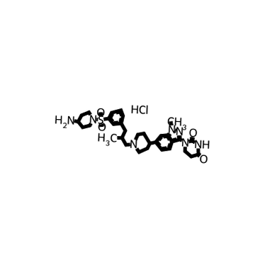 CC(Cc1cccc(S(=O)(=O)N2CCC(N)CC2)c1)CN1CCC(c2ccc3c(N4CCC(=O)NC4=O)nn(C)c3c2)CC1.Cl